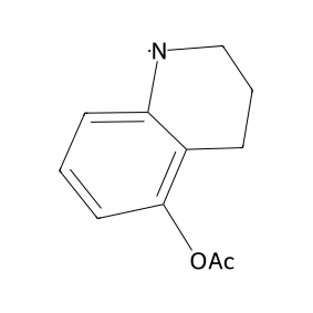 CC(=O)Oc1cccc2c1CCC[N]2